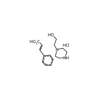 Cl.O=C(O)C=Cc1ccccc1.OCCN1CCNCC1